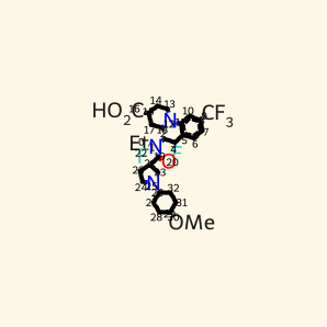 CCN(C[C@@H](F)c1ccc(C(F)(F)F)cc1N1CCC(C(=O)O)CC1)C(=O)[C@@]1(F)CCN(C2CCC(OC)CC2)C1